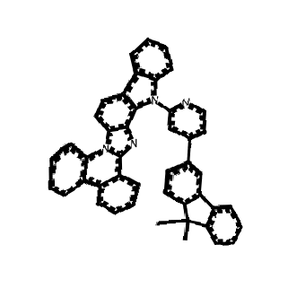 CC1(C)c2ccccc2-c2cc(-c3ccnc(-n4c5ccccc5c5ccc6c(nc7c8ccccc8c8ccccc8n67)c54)c3)ccc21